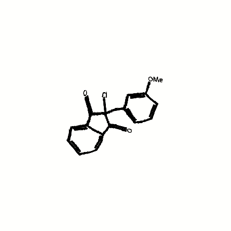 COc1cccc(C2(Cl)C(=O)c3ccccc3C2=O)c1